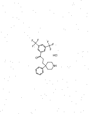 Cl.O=C(CCC1(c2ccccc2)CCNCC1)c1cc(C(F)(F)F)cc(C(F)(F)F)c1